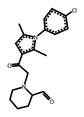 Cc1cc(C(=O)CN2CCCCC2C=O)c(C)n1-c1ccc(Cl)cc1